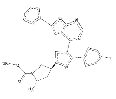 C[C@H]1C[C@H](n2cc(-c3ncnc4oc(-c5ccccc5)cc34)c(-c3ccc(F)cc3)n2)CN1C(=O)OC(C)(C)C